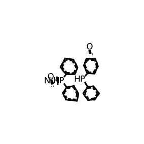 CC.[C]=O.[C]=O.[Ni].c1ccc(Pc2ccccc2)cc1.c1ccc(Pc2ccccc2)cc1